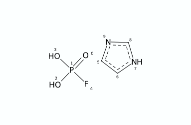 O=P(O)(O)F.c1c[nH]cn1